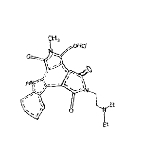 CCN(CC)CCn1c(=O)c2c3c(=O)n(C)c(=O)c3c3[nH]c4ccccc4c3c2c1=O.Cl